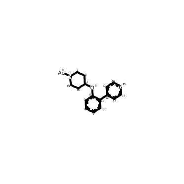 CC(=O)N1CCC(Oc2ccccc2-c2ccncc2)CC1